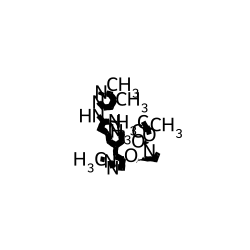 Cc1cc(Nc2cc3cc(-c4c(OC[C@H]5CCN5C(=O)OC(C)(C)C)cnn4C)ccn3n2)nnc1C